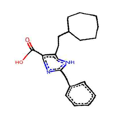 O=C(O)c1nc(-c2ccccc2)[nH]c1CC1CCCCCC1